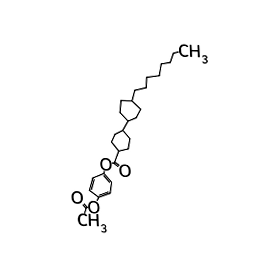 CCCCCCCCC1CCC(C2CCC(C(=O)Oc3ccc(OC(C)=O)cc3)CC2)CC1